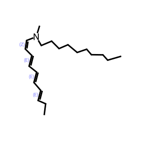 CC/C=C/C=C/C=C/C=C\N(C)CCCCCCCCCC